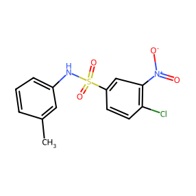 Cc1cccc(NS(=O)(=O)c2ccc(Cl)c([N+](=O)[O-])c2)c1